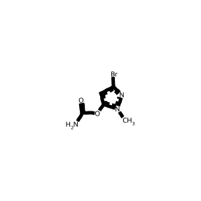 Cn1nc(Br)cc1OC(N)=O